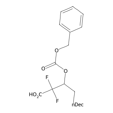 CCCCCCCCCCCC(OC(=O)OCc1ccccc1)C(F)(F)C(=O)O